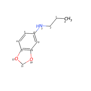 CCCNc1ccc2c(c1)OCO2